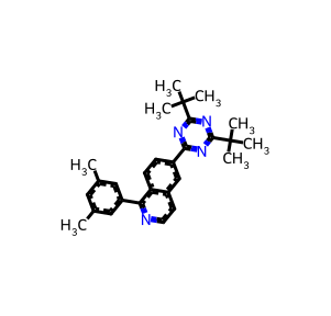 Cc1cc(C)cc(-c2nccc3cc(-c4nc(C(C)(C)C)nc(C(C)(C)C)n4)ccc23)c1